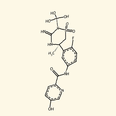 C[C@@]1(c2cc(NC(=O)c3ccc(O)cn3)ccc2F)CS(=O)(=O)N(C(O)(O)O)C(=N)N1